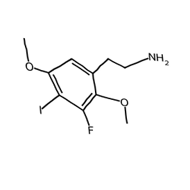 COc1cc(CCN)c(OC)c(F)c1I